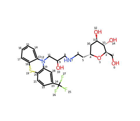 OC[C@H]1O[C@H](CCNCC(O)CN2c3ccccc3Sc3ccc(C(F)(F)F)cc32)C[C@@H](O)[C@@H]1O